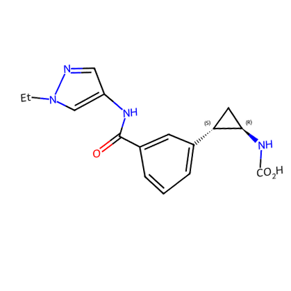 CCn1cc(NC(=O)c2cccc([C@@H]3C[C@H]3NC(=O)O)c2)cn1